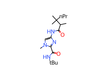 CCCC(C)(C)C(C)C(=O)Nc1cn(C)c(C(=O)NC(C)(C)C)n1